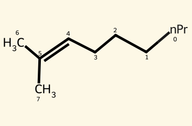 C[CH]CCCCC=C(C)C